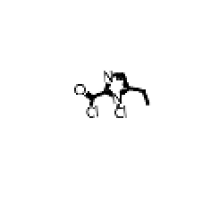 CCc1cnc(C(=O)Cl)n1Cl